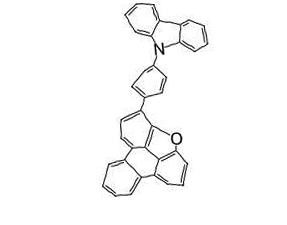 c1ccc2c(c1)c1cccc3oc4c(-c5ccc(-n6c7ccccc7c7ccccc76)cc5)ccc2c4c31